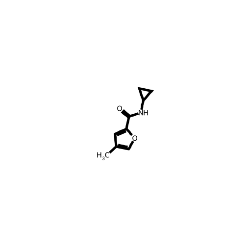 Cc1coc(C(=O)NC2CC2)c1